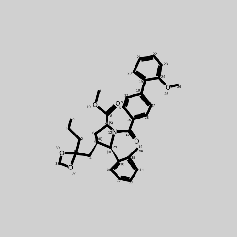 CCCC1(C[C@H]2C[C@@H](C(=O)OC)N(C(=O)c3ccc(-c4ccccc4OC)cc3)[C@H]2c2ccccc2C)OCO1